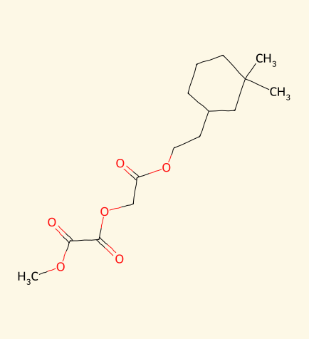 COC(=O)C(=O)OCC(=O)OCCC1CCCC(C)(C)C1